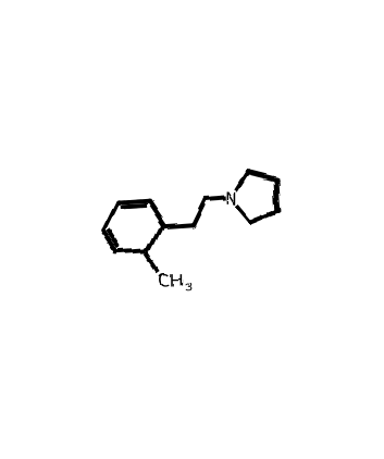 CC1C=CC=CC1CCN1CCCC1